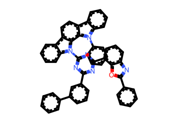 c1ccc(-c2cccc(-c3nc(-c4cccc5nc(-c6ccccc6)oc45)nc(-n4c5ccccc5c5ccc6c7ccccc7n(-c7ccccc7)c6c54)n3)c2)cc1